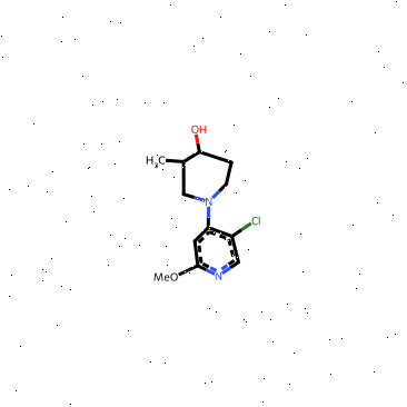 COc1cc(N2CCC(O)C(C)C2)c(Cl)cn1